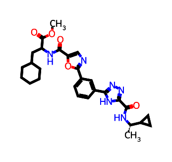 COC(=O)C(CC1CCCCC1)NC(=O)c1cnc(-c2cccc(-c3nnc(C(=O)N[C@@H](C)C4CC4)[nH]3)c2)o1